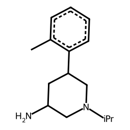 Cc1ccccc1C1CC(N)CN(C(C)C)C1